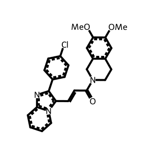 COc1cc2c(cc1OC)CN(C(=O)C=Cc1c(-c3ccc(Cl)cc3)nc3ccccn13)CC2